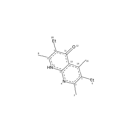 CCc1c(C)nc2[nH]c(C)c(CC)c(=O)c2c1C